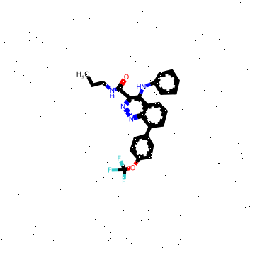 CCCNC(=O)c1nnc2c(-c3ccc(OC(F)(F)F)cc3)cccc2c1Nc1ccccc1